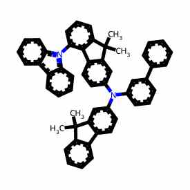 CC1(C)c2ccccc2-c2ccc(N(c3cccc(-c4ccccc4)c3)c3ccc4c(c3)C(C)(C)c3cccc(-n5c6ccccc6c6ccccc65)c3-4)cc21